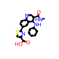 CNC(=O)c1cnc2ccc(-c3nc(C(=O)O)cs3)cc2c1Nc1ccccc1